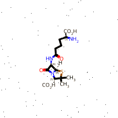 CC1(C)S[C@@H]2[C@H](NC(=O)CCC[C@H](N)C(=O)O)C(=O)N2[C@H]1C(=O)O